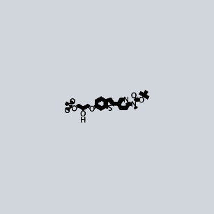 CN(C(=O)OC(C)(C)C)c1ccc(-c2cc3ccc(OC[C@@H](O)COS(C)(=O)=O)cc3s2)cn1